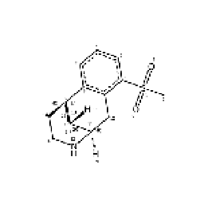 CS(=O)(=O)c1cccc2c1C[C@H]1NCC[C@@]23CCCC[C@@H]13